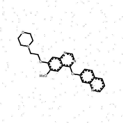 COc1cc2c(Oc3ccc4cccnc4c3)ncnc2cc1OCCN1CCOCC1